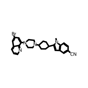 Cn1c(C2CCC(N3CCN(c4cc(Br)cc5cccnc45)CC3)CC2)cc2cc(C#N)ccc21